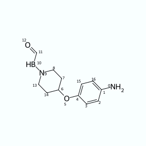 Nc1ccc(OC2CCN(BC=O)CC2)cc1